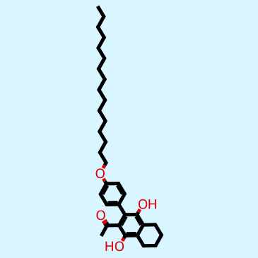 CCCCCCCCCCCCCCCCOc1ccc(-c2c(O)c3c(c(O)c2C(C)=O)CCCC3)cc1